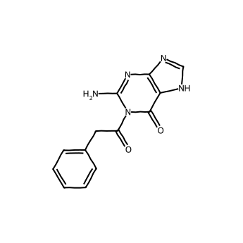 Nc1nc2nc[nH]c2c(=O)n1C(=O)Cc1ccccc1